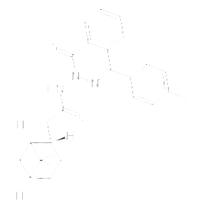 CC1(C)[C@H]2CC[C@@H](CC(=O)Nn3nc(-c4ccc(Cl)cc4)c4ccccc4c3=O)[C@@H]1C2